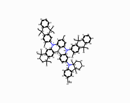 Cc1cc2c3c(c1)N(c1cc4c(cc1C)C(C)(C)c1ccccc1C4(C)C)c1cc4c(cc1B3c1ccc(N3c5ccc(C(C)(C)C)cc5C5(C)CCCCC35C)cc1N2c1cc2c(cc1C)C(C)(C)c1ccccc1C2(C)C)C(C)(C)CCC4(C)C